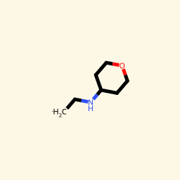 [CH2]CNC1CCOCC1